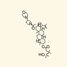 C=C(C)[C@@H]1CC[C@]2(CC(=O)N3CC[C@@H](N4CCOCC4)C3)CC[C@]3(C)[C@H](CC[C@@H]4[C@@]5(C)CC[C@H](OC(=O)CC(C)(C)C(=O)O)C(C)(C)[C@@H]5CC[C@]43C)[C@@H]12